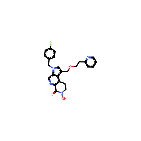 O=C1c2ncc3c(c(COCCc4ccccn4)cn3Cc3ccc(F)cc3)c2CCN1O